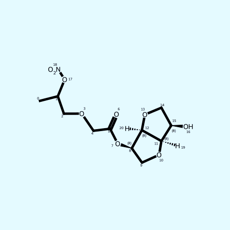 CC(COCC(=O)O[C@@H]1CO[C@H]2[C@@H]1OC[C@H]2O)O[N+](=O)[O-]